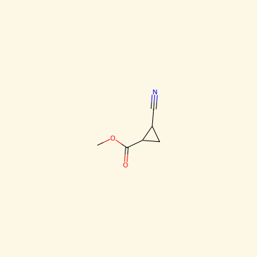 COC(=O)C1CC1C#N